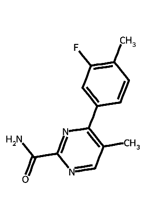 Cc1ccc(-c2nc(C(N)=O)ncc2C)cc1F